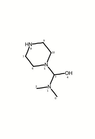 CN(C)C(O)N1CCNCC1